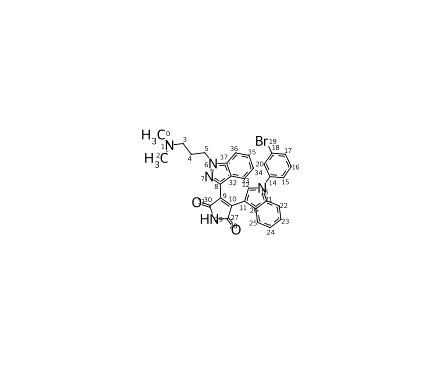 CN(C)CCCn1nc(C2=C(c3cn(-c4cccc(Br)c4)c4ccccc34)C(=O)NC2=O)c2ccccc21